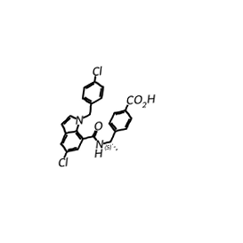 C[C@H](NC(=O)c1cc(Cl)cc2ccn(Cc3ccc(Cl)cc3)c12)c1ccc(C(=O)O)cc1